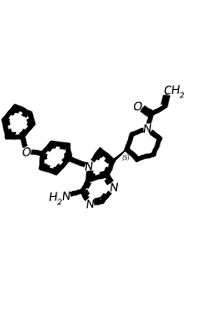 C=CC(=O)N1CCC[C@@H](c2cn(-c3ccc(Oc4ccccc4)cc3)c3c(N)ncnc23)C1